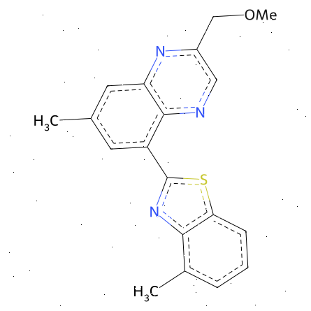 COCc1cnc2c(-c3nc4c(C)cccc4s3)cc(C)cc2n1